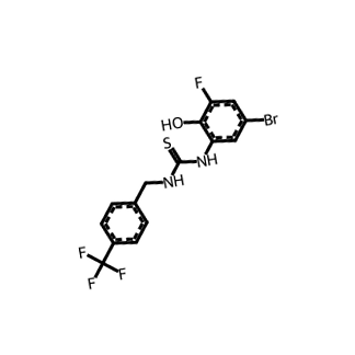 Oc1c(F)cc(Br)cc1NC(=S)NCc1ccc(C(F)(F)F)cc1